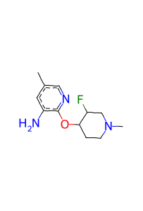 Cc1cnc(OC2CCN(C)CC2F)c(N)c1